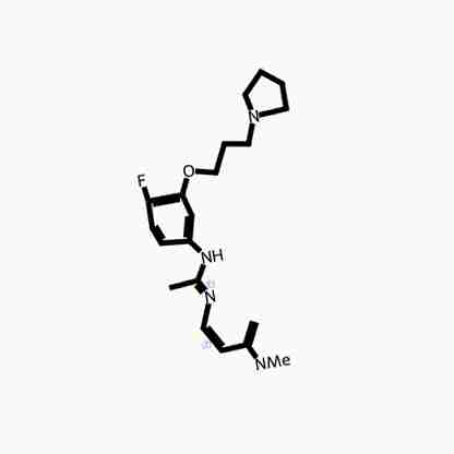 C=C(/C=C\N=C(/C)Nc1ccc(F)c(OCCCN2CCCC2)c1)NC